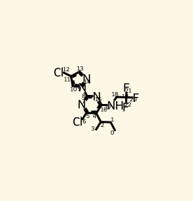 CCC(C)c1c(Cl)nc(-n2cc(Cl)cn2)nc1NCC(F)(F)F